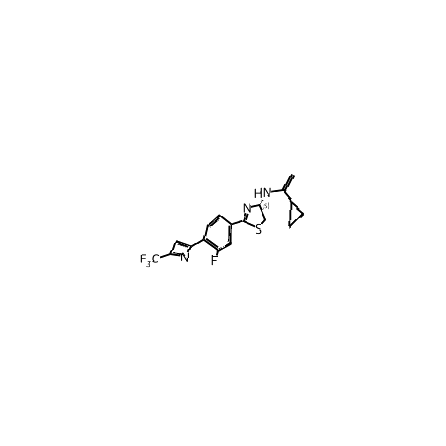 C=C(N[C@@H]1CSC(c2ccc(C3=CC(C(F)(F)F)=N3)c(F)c2)=N1)C1CC1